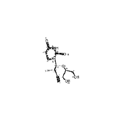 C#C[C@H](F)[C@@H](OC(CO)CO)n1ccc(=O)[nH]c1=O